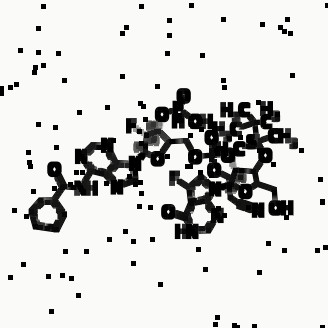 CC(C)(C)[Si](C)(C)OC1C(CO)O[C@@H](n2cc(F)c3c(=O)[nH]cnc32)[C@@H]1OP(=O)(OCCC#N)OCC1O[C@@H](n2cnc3c(NC(=O)c4ccccc4)ncnc32)[C@H](F)[C@@H]1O[PH](=O)O